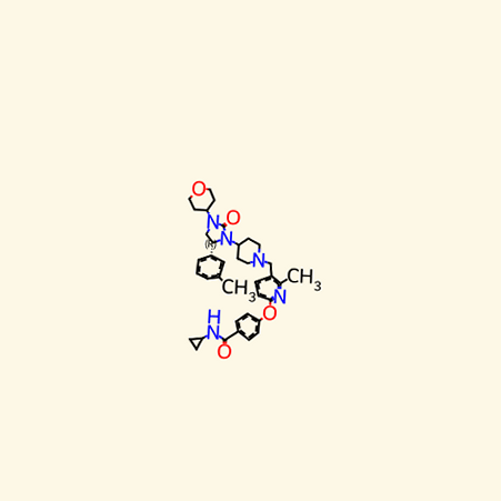 Cc1cccc([C@@H]2CN(C3CCOCC3)C(=O)N2C2CCN(Cc3ccc(Oc4ccc(C(=O)NC5CC5)cc4)nc3C)CC2)c1